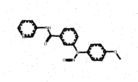 COc1ccc(N(N=O)c2cccc(C(=O)Nc3cccnc3)c2)cc1